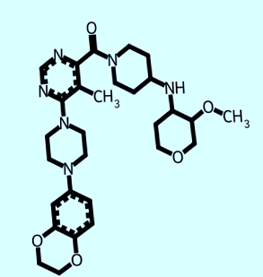 COC1COCCC1NC1CCN(C(=O)c2ncnc(N3CCN(c4ccc5c(c4)OCCO5)CC3)c2C)CC1